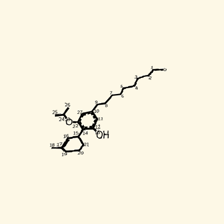 CCCCCCCCCCc1cc(O)c(C2C=C(C)CCC2)c(OC(C)C)c1